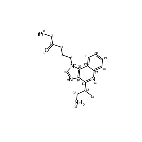 CC(C)CC(=O)CCCn1cnc2c(C(C)CN)nc3ccccc3c21